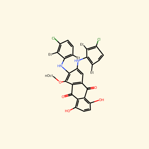 CCCCCCCCOc1c(Nc2c(CC)ccc(Cl)c2CC)c(Nc2c(CC)ccc(Cl)c2CC)cc2c1C(=O)c1c(O)ccc(O)c1C2=O